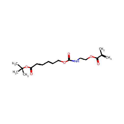 C=C(C)C(=O)OCCNC(=O)OCCCCCC(=O)OC(C)(C)C